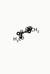 CC(=O)OCN(C(=O)CCCOc1cccc(C(C)=O)c1[N+](=O)[O-])C1CCCCC1